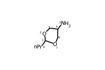 CCCC1OCC(N)CO1